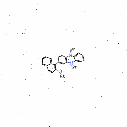 CCOc1ccc2ccccc2c1-c1ccc2c(c1)N(C(C)C)c1ccccc1N2C(C)C